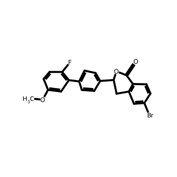 COc1ccc(F)c(-c2ccc(C3Cc4cc(Br)ccc4C(=O)O3)cc2)c1